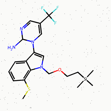 CSc1cccc2c(N3C=C(C(F)(F)F)C=NC3N)cn(COCC[Si](C)(C)C)c12